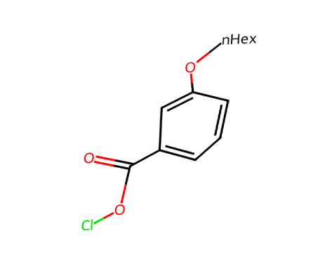 CCCCCCOc1cccc(C(=O)OCl)c1